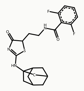 O=C(NCCC1SC(NC23CC4CC(CC2C4)C3)=NC1=O)c1c(F)cccc1F